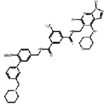 CCc1nc2c(cnn2CC)c(NC2CCOCC2)c1CNC(=O)c1cc(C)cc(C(=O)NCc2ccc(OC)c(-c3cccc(CN4CCCCC4)c3)c2)c1